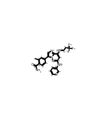 Cc1cc(-c2cnc3c(NCCC(F)(F)F)cc(Nc4cccnc4)nn23)ccc1C(N)=O